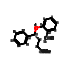 CNCC[C@@H](Oc1ccccc1C=O)c1ccccc1